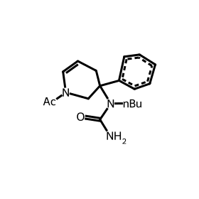 CCCCN(C(N)=O)C1(c2ccccc2)CC=CN(C(C)=O)C1